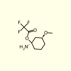 CO[C@H]1CCC[C@@](N)(OC(=O)C(F)(F)F)C1